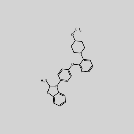 COC1CCN(c2cccnc2Oc2ccc(N3c4ccccc4SC3N)cc2)CC1